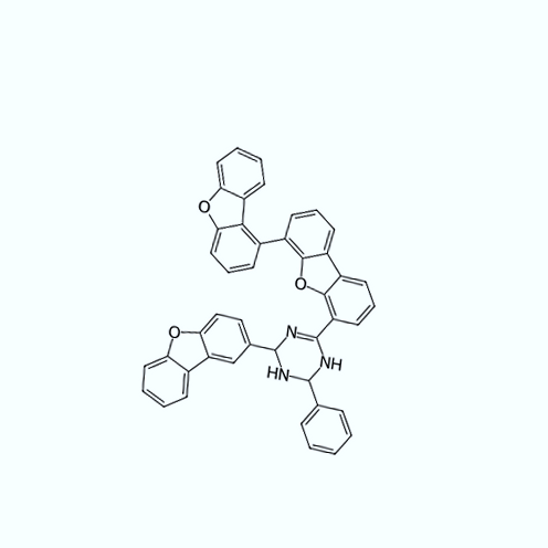 c1ccc(C2NC(c3cccc4c3oc3c(-c5cccc6oc7ccccc7c56)cccc34)=NC(c3ccc4oc5ccccc5c4c3)N2)cc1